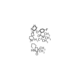 CC(C)N(C(=O)c1cc(F)ccc1Oc1cncnc1N1CC2(CCN(C[C@H]3CC[C@]4(CC3)CC(C)(C)C(=O)N4)CC2)C1)C(C)C